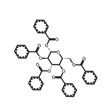 O=C(OC[C@H]1O[C@@H](OC(=O)c2ccccc2)[C@H](OC(=O)c2ccccc2)[C@@H](OC(=O)c2ccccc2)[C@@H]1OC(=O)c1ccccc1)c1ccccc1